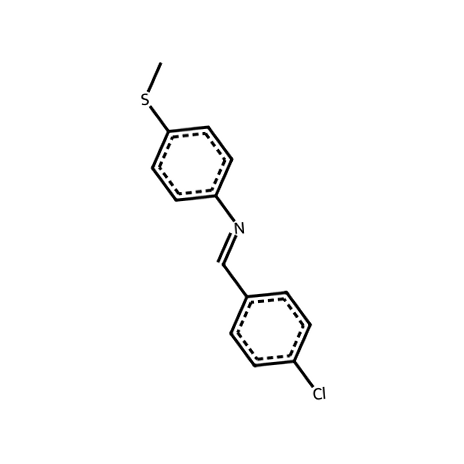 CSc1ccc(N=Cc2ccc(Cl)cc2)cc1